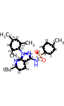 Cc1ccc(S(=O)(=O)Nc2nn(-c3c(C)cc(C)cc3C)c3nc(C(C)(C)C)ccc23)cc1